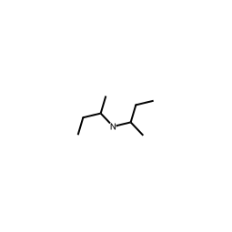 CCC(C)[N]C(C)CC